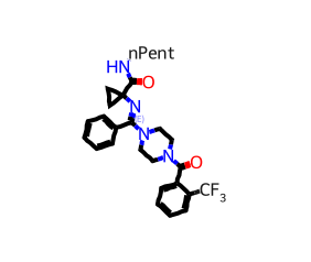 CCCCCNC(=O)C1(/N=C(\c2ccccc2)N2CCN(C(=O)c3ccccc3C(F)(F)F)CC2)CC1